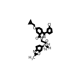 [2H]C([2H])([2H])N(C(=O)Cn1nc(-c2cccc(Cl)c2)c2ccc(OCC3CC3)cc2c1=O)c1ccc2nc(C)oc2c1